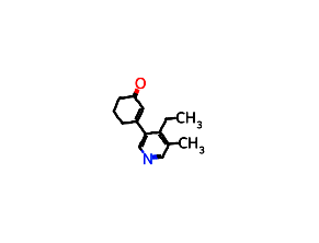 CCc1c(C)cncc1C1=CC(=O)CCC1